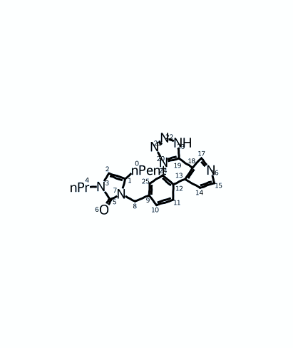 CCCCCc1cn(CCC)c(=O)n1Cc1ccc(-c2ccncc2-c2nnn[nH]2)cc1